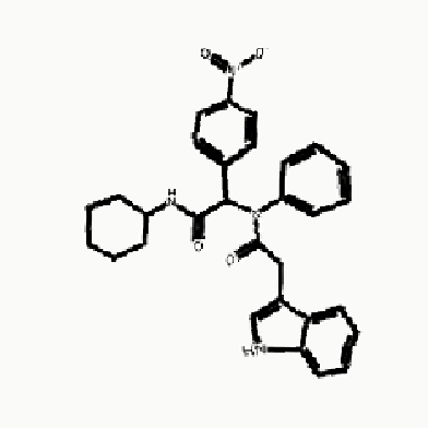 O=C(NC1CCCCC1)C(c1ccc([N+](=O)[O-])cc1)N(C(=O)Cc1c[nH]c2ccccc12)c1ccccc1